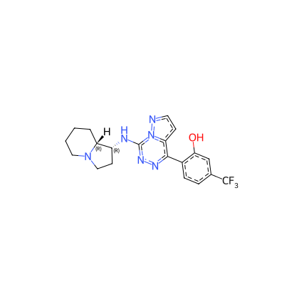 Oc1cc(C(F)(F)F)ccc1-c1nnc(N[C@@H]2CCN3CCCC[C@H]23)n2nccc12